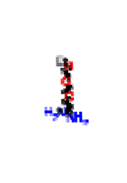 CCOCCOCCOCCC(N)N